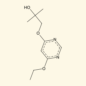 CCOc1cc(OCC(C)(C)O)ncn1